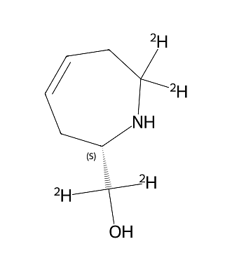 [2H]C1([2H])CC=CC[C@@H](C([2H])([2H])O)N1